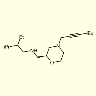 CCCC(CC)CNC[C@H]1CN(CC#CC(C)CC)CCO1